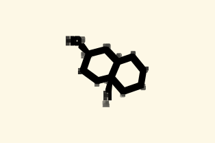 O[C@@H]1CC[C@H]2CCCCC2C1